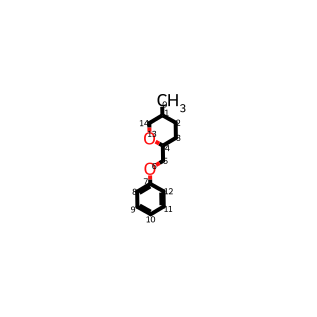 CC1CCC(COc2ccccc2)OC1